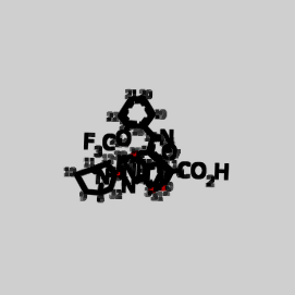 O=C(O)c1ccc2nc(N3C4CCC3CC(NCc3c(-c5ccccc5OC(F)(F)F)noc3C3CC3)C4)ccc2c1